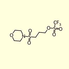 O=S(=O)(CCCOS(=O)(=O)C(F)(F)F)N1CCOCC1